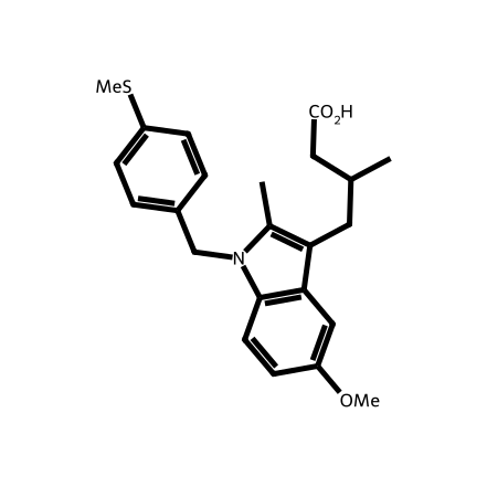 COc1ccc2c(c1)c(CC(C)CC(=O)O)c(C)n2Cc1ccc(SC)cc1